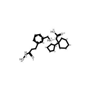 O=C(CCc1cccc(CN[C@H](C(=O)O)C2(C3CCCC3)CCCCC2)c1)NO